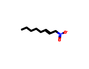 CCCCCC=CC[N+](=O)[O-]